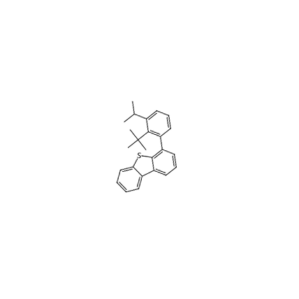 CC(C)c1cccc(-c2cccc3c2sc2ccccc23)c1C(C)(C)C